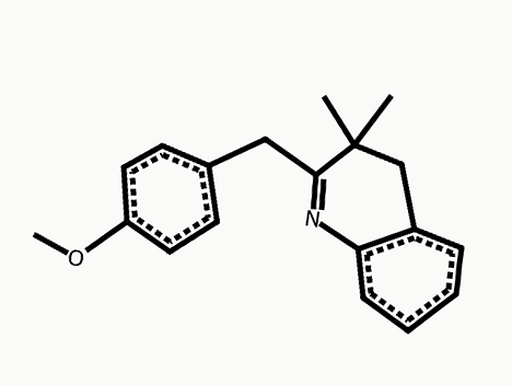 COc1ccc(CC2=Nc3ccccc3CC2(C)C)cc1